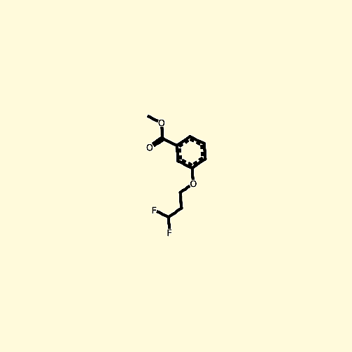 COC(=O)c1cccc(OCCC(F)F)c1